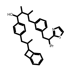 CC(C)C(Cc1cccc(CC(C)C(C)C(O)c2ccc(CC(C)C3Cc4ccccc43)cc2)c1)c1nccs1